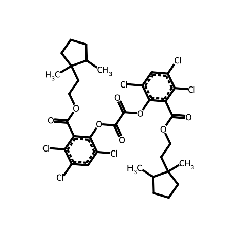 CC1CCCC1(C)CCOC(=O)c1c(Cl)c(Cl)cc(Cl)c1OC(=O)C(=O)Oc1c(Cl)cc(Cl)c(Cl)c1C(=O)OCCC1(C)CCCC1C